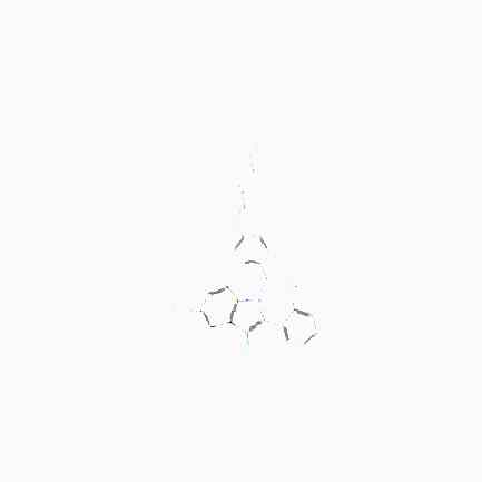 Cc1ccc2c(c1)c(F)c(-c1ccccc1C)n2Cc1ccc(CCNCCF)cc1